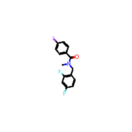 CN(Cc1ccc(F)cc1F)C(=O)c1ccc(I)cc1